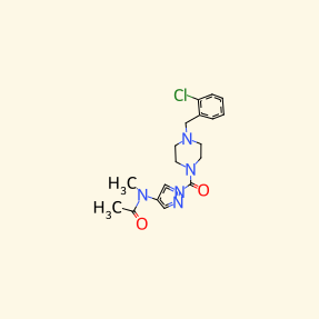 CC(=O)N(C)c1cnn(C(=O)N2CCN(Cc3ccccc3Cl)CC2)c1